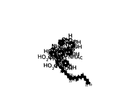 C=C(C/C=C(\C)CCC=C(C)C)CCC(C)(C)/C=C/CC/C(C)=C/CO[C@@H](COP(=O)(O)O[C@H]1O[C@H](C(=O)O)[C@@](C)(O)[C@H](OC(N)=O)[C@H]1O[C@@H]1O[C@H](CO[C@@H]2C[C@H](CO)[C@@H](O)[C@H](O)[C@H]2O)[C@@H](O[C@@H]2O[C@H](C)[C@@H](O[C@@H]3O[C@H](C(=O)NC4=C(O)CCC4=O)[C@H](O)[C@H](O)[C@H]3O)[C@H](O)[C@H]2NC(C)=O)[C@H](O)[C@H]1NC(C)=O)C(=O)O